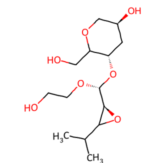 CC(C)C1O[C@@H]1[C@H](OCCO)O[C@H]1C[C@H](O)COC1CO